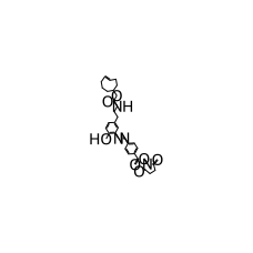 O=C(NCCc1ccc(O)c(/N=N/c2ccc(C(=O)ON3C(=O)CCC3=O)cc2)c1)OC1CC/C=C/CCC1